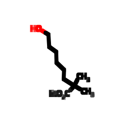 CCOC(=O)C(C)(C)CCCCCCO